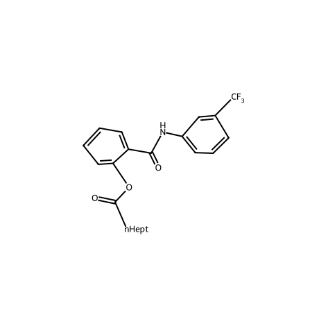 CCCCCCCC(=O)Oc1ccccc1C(=O)Nc1cccc(C(F)(F)F)c1